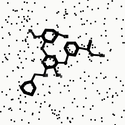 CCOc1ccc(C#N)cc1Oc1nc(NCc2ccccc2)c(N)c(Oc2cccc(C(=O)OC(C)(C)C)c2)n1